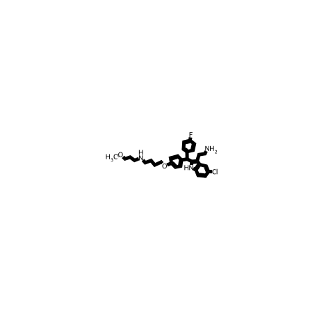 COCCCNCCCCOc1ccc(C(c2ccc(F)cc2)c2[nH]c3ccc(Cl)cc3c2CCN)cc1